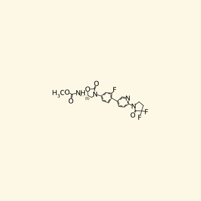 COC(=O)NC[C@H]1CN(c2ccc(-c3ccc(N4CCC(F)(F)C4=O)nc3)c(F)c2)C(=O)O1